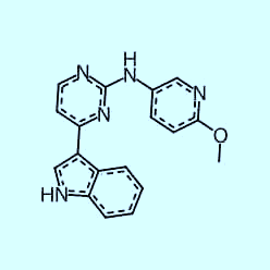 COc1ccc(Nc2nccc(-c3c[nH]c4ccccc34)n2)cn1